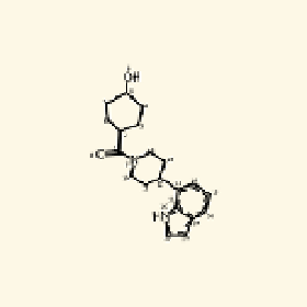 O=C(C1CCC(O)CC1)N1CCC(c2cccc3cc[nH]c23)CC1